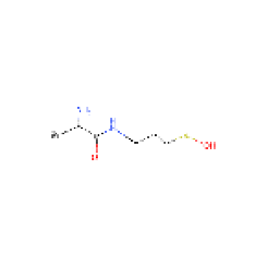 CC(C)C(N)C(=O)NCCCSO